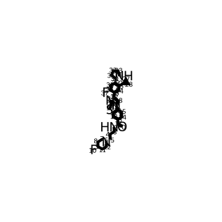 O=C(NCCCN1CCC(F)CC1)c1ccc2c(c1)sc1nc(-c3cc(C4CC4)c([C@H]4CCCN4)cc3F)cn12